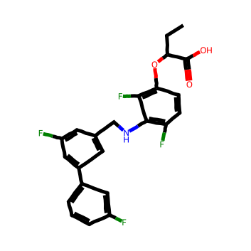 CCC(Oc1ccc(F)c(NCc2cc(F)cc(-c3cccc(F)c3)c2)c1F)C(=O)O